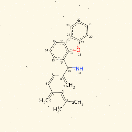 C=C(C=C(C)C)/C=C\C(=C)C(=N)c1cccc2c1oc1ccccc12